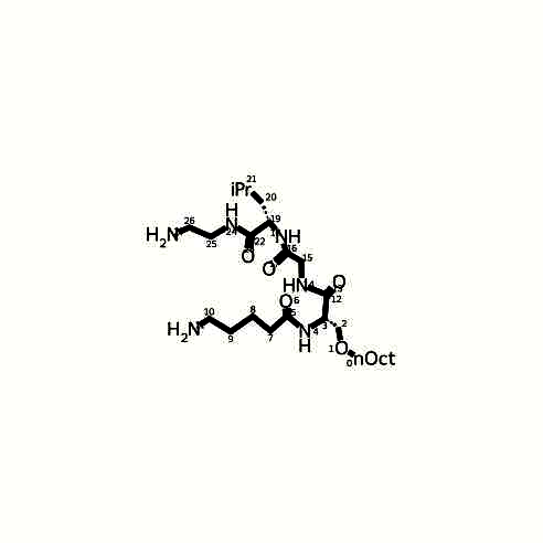 CCCCCCCCOC[C@H](NC(=O)CCCCN)C(=O)NCC(=O)N[C@@H](CC(C)C)C(=O)NCCN